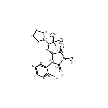 CN1C(=O)C(=NC(N2CCCC2)C(Cl)(Cl)Cl)N(c2ccccc2F)C1=O